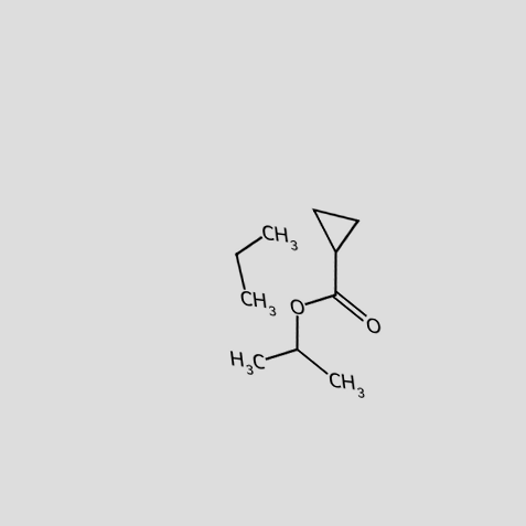 CC(C)OC(=O)C1CC1.CCC